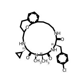 C[C@@H]1C(=O)N[C@H](Cc2ccc(Cl)cc2)C(=O)NCCCc2cccc3c2OC(CC3)CN[C@@H](C2CC2)C(=O)N1C